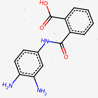 Nc1ccc(NC(=O)c2ccccc2C(=O)O)cc1N